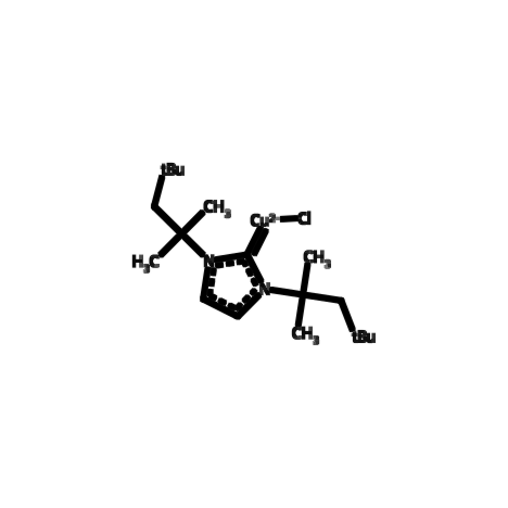 CC(C)(C)CC(C)(C)n1ccn(C(C)(C)CC(C)(C)C)[c]1=[Cu-2][Cl]